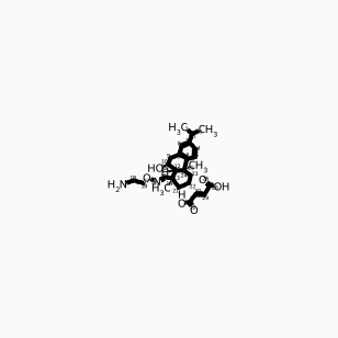 CC(C)c1ccc2c(c1)C[C@H](O)[C@H]1[C@](C)(/C=N/OCCN)CCC[C@]21C.O=C(O)/C=C/C(=O)O